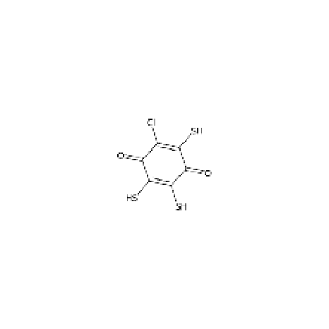 O=C1C(S)=C(S)C(=O)C(Cl)=C1S